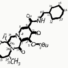 CCCCOc1c2n(cc(C(=O)NCC3CCCCC3)c1=O)C[C@@H]1OCC[C@@H](C)N1C2=O